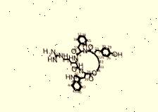 N=C(N)NCCCC1NC(=O)C(Cc2ccccc2)NC(=O)C(Cc2ccc(O)cc2)CCCCOC(=O)C(Cc2c[nH]c3ccccc23)NC1=O